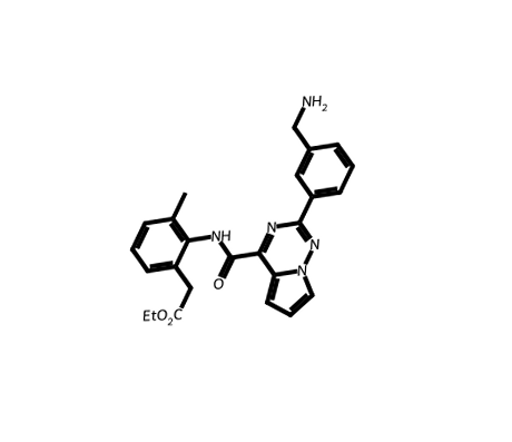 CCOC(=O)Cc1cccc(C)c1NC(=O)c1nc(-c2cccc(CN)c2)nn2cccc12